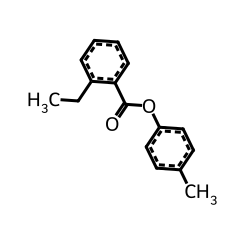 CCc1ccccc1C(=O)Oc1ccc(C)cc1